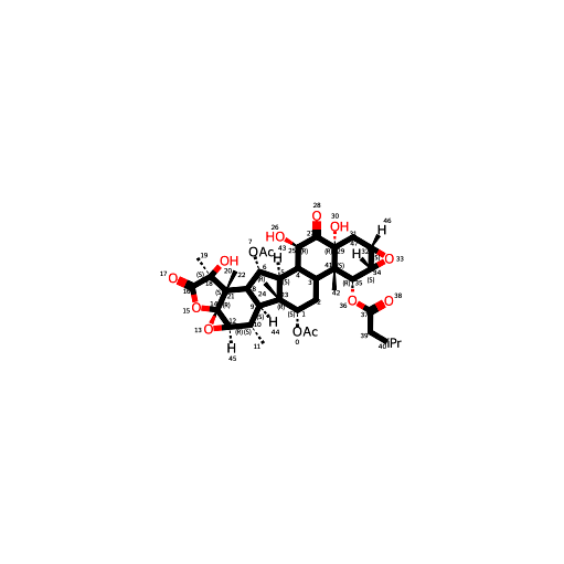 CC(=O)O[C@H]1CC2C([C@@H]3[C@@H](OC(C)=O)C4[C@H]([C@H](C)[C@H]5O[C@]56OC(=O)[C@@](C)(O)[C@]46C)[C@@]13C)[C@@H](O)C(=O)[C@@]1(O)C[C@@H]3O[C@@H]3[C@H](OC(=O)CC(C)C)[C@]21C